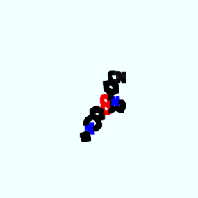 N#Cc1ccc(C(=O)N2CCCC2COc2ccc3c(c2)CCN(C2CCC2)CC3)cc1